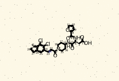 O=C(O)C[C@H](NC(=O)c1ccco1)C(=O)NC1CCN(C(=O)/C=C/c2cc3ccsc3c(Cl)c2Cl)CC1